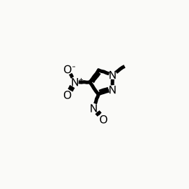 Cn1cc([N+](=O)[O-])c(N=O)n1